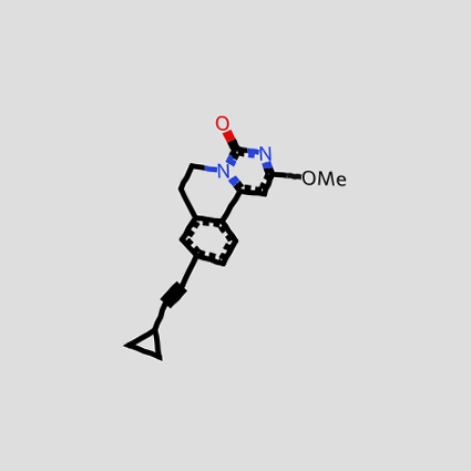 COc1cc2n(c(=O)n1)CCc1cc(C#CC3CC3)ccc1-2